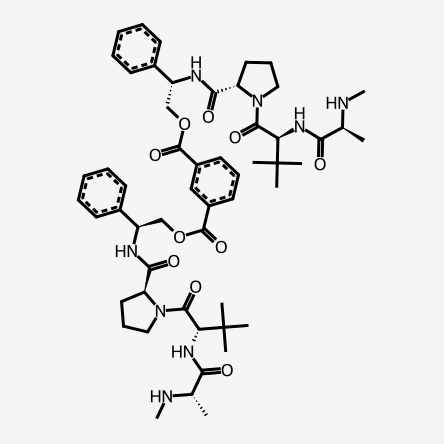 CN[C@@H](C)C(=O)N[C@H](C(=O)N1CCC[C@H]1C(=O)N[C@H](COC(=O)c1cccc(C(=O)OC[C@@H](NC(=O)[C@@H]2CCCN2C(=O)[C@@H](NC(=O)[C@H](C)NC)C(C)(C)C)c2ccccc2)c1)c1ccccc1)C(C)(C)C